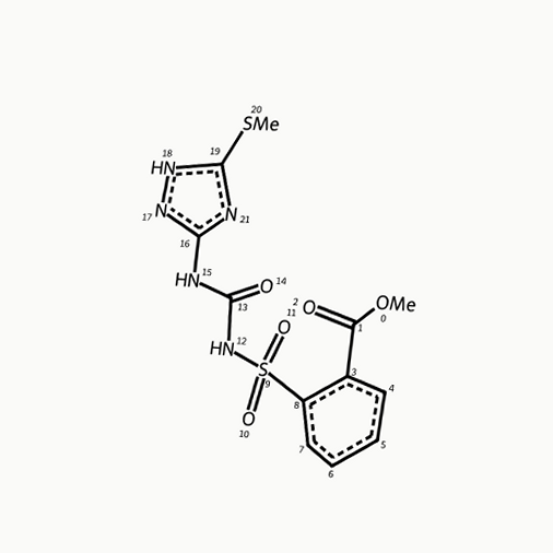 COC(=O)c1ccccc1S(=O)(=O)NC(=O)Nc1n[nH]c(SC)n1